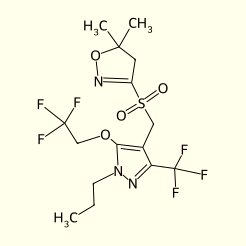 CCCn1nc(C(F)(F)F)c(CS(=O)(=O)C2=NOC(C)(C)C2)c1OCC(F)(F)F